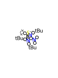 Cc1cc(C(C)(C)C)ccc1N1c2cc(N(c3ccccc3)c3ccccc3)cc3c2B(c2cc(C(C)(C)C)ccc2N3c2ccc(C(C)(C)C)cc2)c2c1sc1cc3c(cc21)C(C)(C)CCC3(C)C